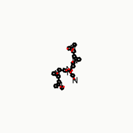 N#Cc1ccc(-c2cc(-c3ccc4cc(-n5c6ccccc6c6cc(-c7ccc8c(c7)c7ccccc7n8-c7ccccc7)ccc65)ccc4c3)nc(-c3ccc(-c4cccc(-n5c6ccccc6c6cc(-c7ccc8c(c7)c7ccccc7n8-c7ccccc7)ccc65)c4)cc3)n2)cc1